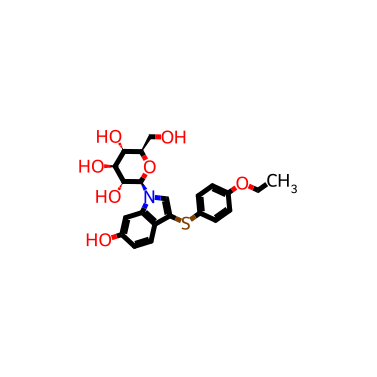 CCOc1ccc(Sc2cn([C@@H]3O[C@H](CO)[C@@H](O)[C@H](O)[C@H]3O)c3cc(O)ccc23)cc1